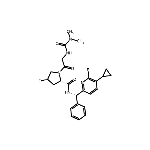 CN(C)C(=O)NCC(=O)N1C[C@H](F)C[C@H]1C(=O)N[C@@H](c1ccccc1)c1ccc(C2CC2)c(F)n1